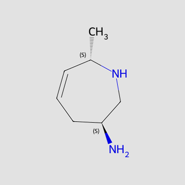 C[C@H]1C=CC[C@H](N)CN1